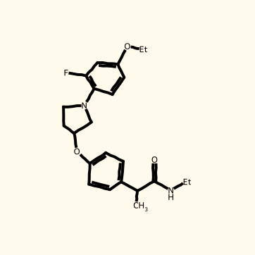 CCNC(=O)C(C)c1ccc(OC2CCN(c3ccc(OCC)cc3F)C2)cc1